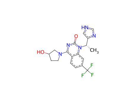 C[C@@H](c1c[nH]cn1)n1c(=O)nc(N2CCC(O)C2)c2ccc(C(F)(F)F)cc21